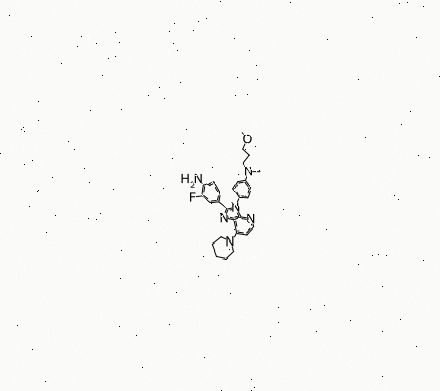 COCCCN(C)c1ccc(-n2c(-c3ccc(N)c(F)c3)nc3c(N4CCCCC4)ccnc32)cc1